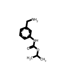 CC(C)OC(=O)Nc1cccc(CN)c1